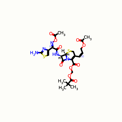 CC(=O)OC/C=C\C1=C(C(=O)OCOC(=O)C(C)(C)C)N2C(=O)[C@@H](NC(=O)/C(=N\OC(C)=O)c3csc(N)n3)[C@H]2SC1